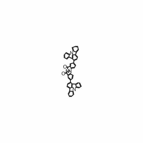 O=c1c2cc(-c3ccc4c5ccccc5n5c6ccccc6c3c45)ccc2n2c3ccc(-c4ccc5c6ccccc6n6c7ccccc7c4c56)cc3c(=O)n12